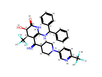 N=C(C1=C(NC(c2ccccc2)c2ccccc2)NC(=O)[C@H](O)[C@@H]1C(F)(F)F)C1CCN(c2ccc(C(F)(F)F)nc2)CC1